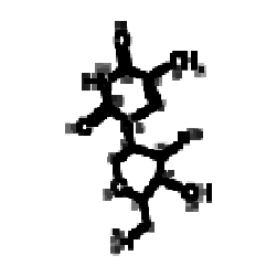 [2H]CC1OCC(n2cc(C)c(=O)[nH]c2=O)C(F)C1O